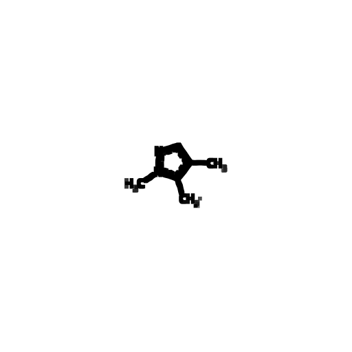 [CH2]c1c(C)cnn1C